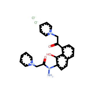 NN(C(=O)C[n+]1ccccc1)c1ccc2cccc(C(=O)C[n+]3ccccc3)c2c1O.[Cl-].[Cl-]